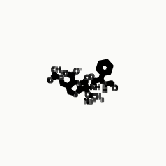 CO[C@@]1(NC(=O)C(NC=O)c2ccccc2)C(=O)N2C(C(=O)[O-])=C(COC(C)=O)CSC21.[Na+]